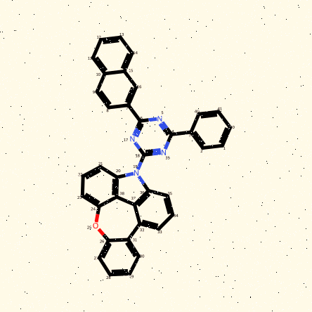 c1ccc(-c2nc(-c3ccc4ccccc4c3)nc(-n3c4cccc5oc6ccccc6c6cccc3c6c54)n2)cc1